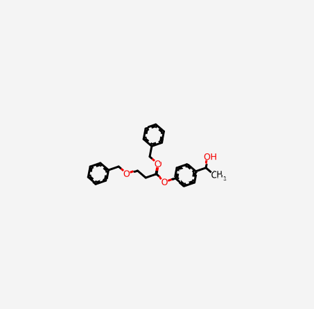 CC(O)c1ccc(OC(CCOCc2ccccc2)OCc2ccccc2)cc1